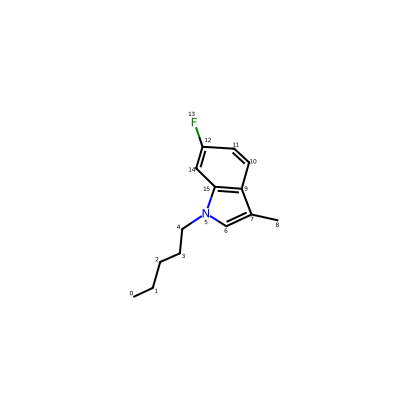 CCCCCn1cc(C)c2ccc(F)cc21